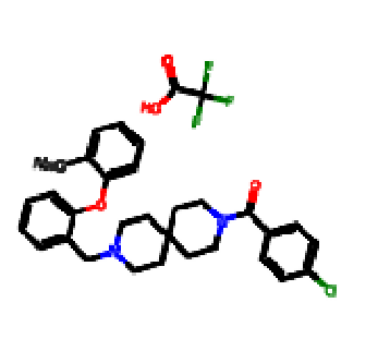 COc1ccccc1Oc1ccccc1CN1CCC2(CC1)CCN(C(=O)c1ccc(Cl)cc1)CC2.O=C(O)C(F)(F)F